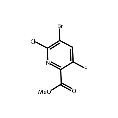 COC(=O)c1nc(Cl)c(Br)cc1F